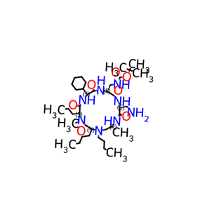 CCCC[C@H]1C(=O)N(C)[C@@H](CCC)C(=O)N[C@@H](C2CCCCC2)C(=O)N[C@@H](CNC(=O)OC(C)(C)C)C(=O)N[C@@H](CN)C(=O)N[C@H](C)CN1CCCC